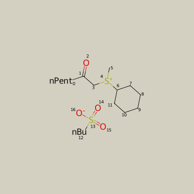 CCCCCC(=O)C[S+](C)C1CCCCC1.CCCCS(=O)(=O)[O-]